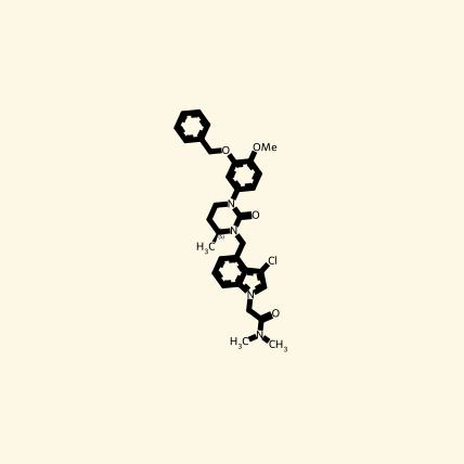 COc1ccc(N2CC[C@H](C)N(Cc3cccc4c3c(Cl)cn4CC(=O)N(C)C)C2=O)cc1OCc1ccccc1